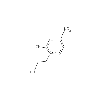 O=[N+]([O-])c1ccc(CCO)c(Cl)c1